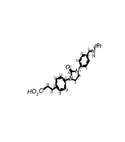 CCCNCc1ccc(N2CCN(c3ccc(CCC(=O)O)cc3)C2=O)cc1